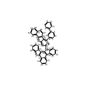 c1ccc(-c2cccc(-c3nc(-n4c5ccccc5c5c6ccccc6c6sc7ccccc7c6c54)nc4sc5c6ccccc6ccc5c34)c2)cc1